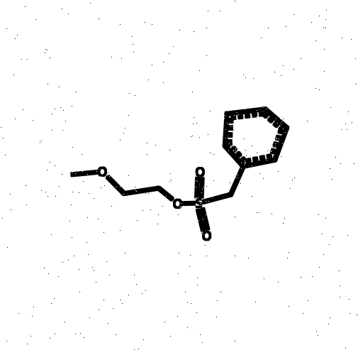 COCCOS(=O)(=O)Cc1ccccc1